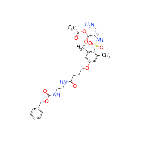 Cc1cc(OCCCC(=O)NCCNC(=O)OCc2ccccc2)cc(C)c1S(=O)(=O)N[C@@H](CN)C(=O)OC(=O)C(F)(F)F